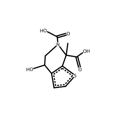 CC1(C(=O)O)c2sccc2C(O)CN1C(=O)O